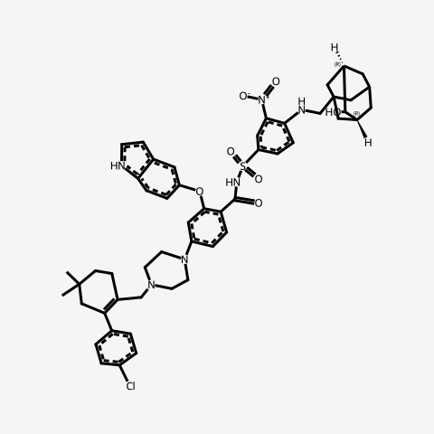 CC1(C)CCC(CN2CCN(c3ccc(C(=O)NS(=O)(=O)c4ccc(NCC56CC7C[C@H](C5)C(O)[C@H](C7)C6)c([N+](=O)[O-])c4)c(Oc4ccc5[nH]ccc5c4)c3)CC2)=C(c2ccc(Cl)cc2)C1